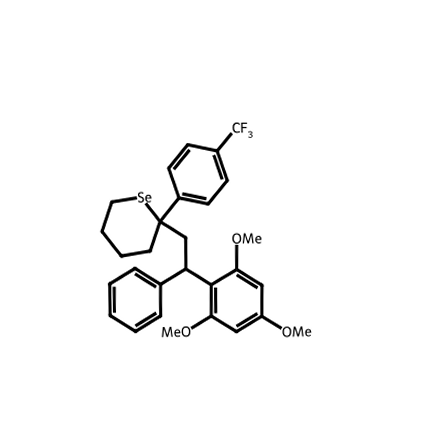 COc1cc(OC)c(C(CC2(c3ccc(C(F)(F)F)cc3)CCCC[Se]2)c2ccccc2)c(OC)c1